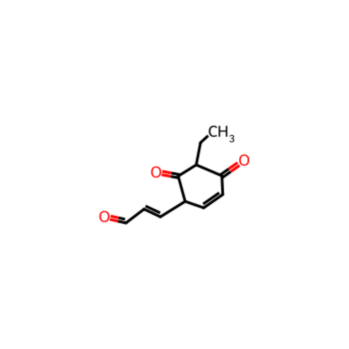 CCC1C(=O)C=CC(C=CC=O)C1=O